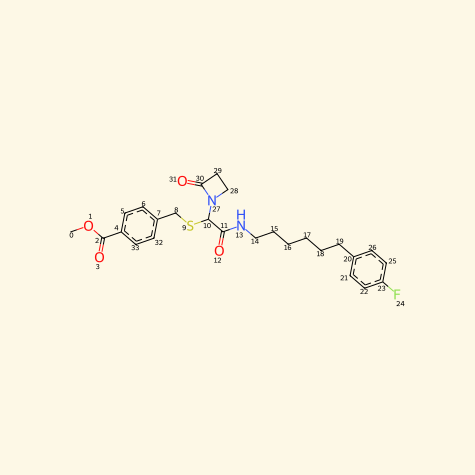 COC(=O)c1ccc(CSC(C(=O)NCCCCCCc2ccc(F)cc2)N2CCC2=O)cc1